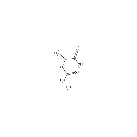 CC(CC(=O)O)C(=O)O.[LiH]